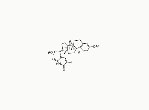 CC(=O)Oc1ccc2c(c1)CC[C@@H]1[C@@H]2CC[C@]2(C)[C@@H](C(C(=O)O)n3cc(F)c(=O)[nH]c3=O)CC[C@@H]12